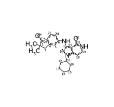 CC1(C)Cc2cc(Nc3nn(C4CCCCC4)c4cc[nH]c(=O)c34)ccc2[S+]1[O-]